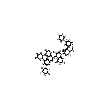 C1=Cc2ccc(-c3ccccc3)nc2C2NC(c3ccc(-c4cc5nc(-c6ccccc6)cc(-c6ccccc6)c5c5ccccc45)c4ccccc34)=CC=C12